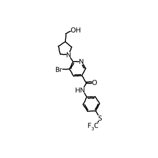 O=C(Nc1ccc(SC(F)(F)F)cc1)c1cnc(N2CCC(CO)C2)c(Br)c1